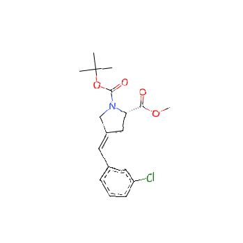 COC(=O)[C@@H]1C/C(=C\c2cccc(Cl)c2)CN1C(=O)OC(C)(C)C